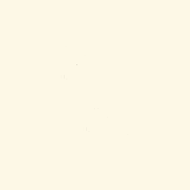 CCC(C)(C)C(=O)OCOCC1(C)CC2CCC1C2